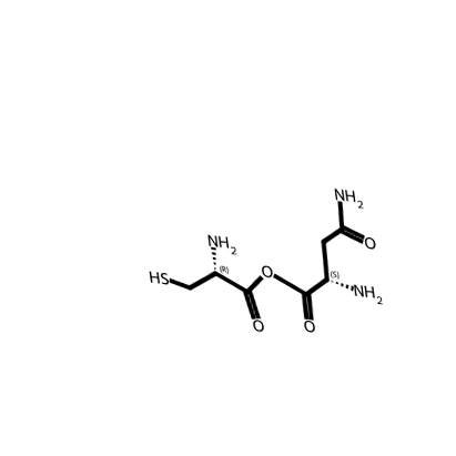 NC(=O)C[C@H](N)C(=O)OC(=O)[C@@H](N)CS